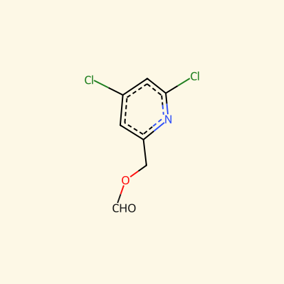 O=COCc1cc(Cl)cc(Cl)n1